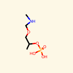 CNCOCC(C)OP(=O)(O)O